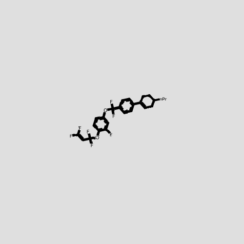 CCCC1CC=C(c2ccc(C(F)(F)Oc3ccc(OC(F)(F)C=C(F)F)c(F)c3)cc2)CC1